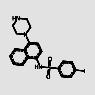 O=S(=O)(Nc1ccc(N2CCNCC2)c2ccccc12)c1ccc(I)cc1